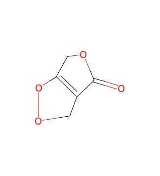 O=C1OCC2=C1COO2